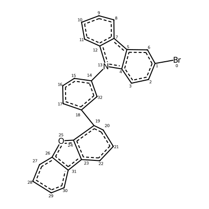 Brc1ccc2c(c1)c1ccccc1n2-c1cccc(-c2cccc3c2oc2ccccc23)c1